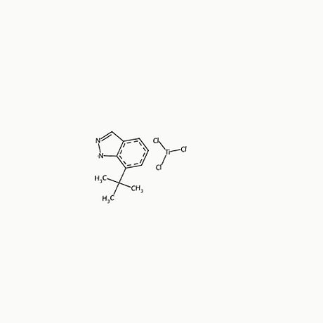 CC(C)(C)c1cccc2c1[N]N=C2.[Cl][Ti]([Cl])[Cl]